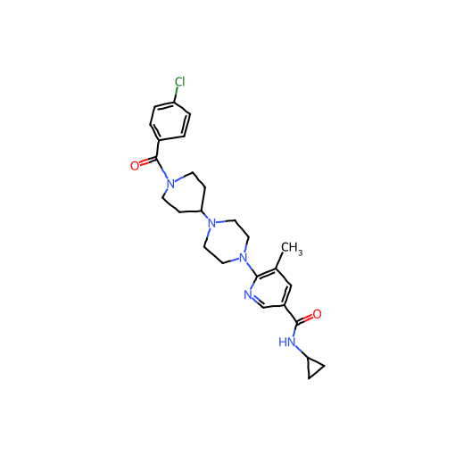 Cc1cc(C(=O)NC2CC2)cnc1N1CCN(C2CCN(C(=O)c3ccc(Cl)cc3)CC2)CC1